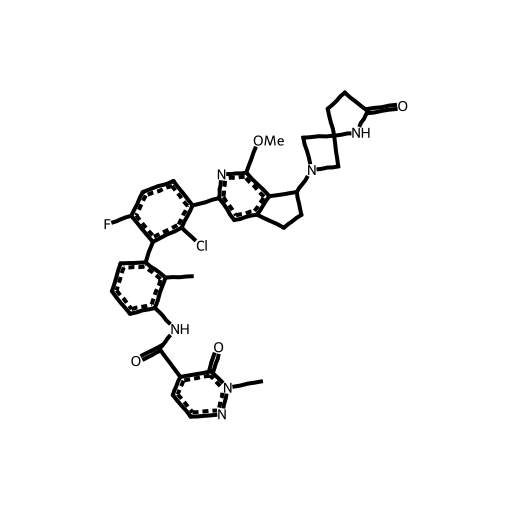 COc1nc(-c2ccc(F)c(-c3cccc(NC(=O)c4ccnn(C)c4=O)c3C)c2Cl)cc2c1C(N1CC3(CCC(=O)N3)C1)CC2